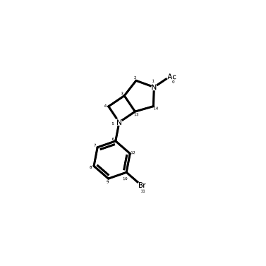 CC(=O)N1CC2CN(c3cccc(Br)c3)C2C1